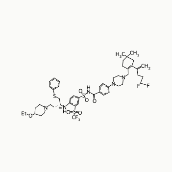 C=C(CCC(F)F)C1=C(CN2CCN(c3ccc(C(=O)NS(=O)(=O)c4ccc(N[C@H](CCN5CCC(OCC)CC5)CSc5ccccc5)c(S(=O)(=O)C(F)(F)F)c4)cc3)CC2)CCC(C)(C)C1